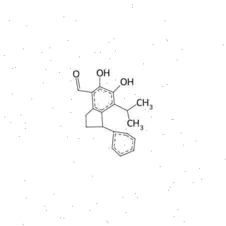 CC(C)c1c(O)c(O)c(C=O)c2c1C(c1ccccc1)CC2